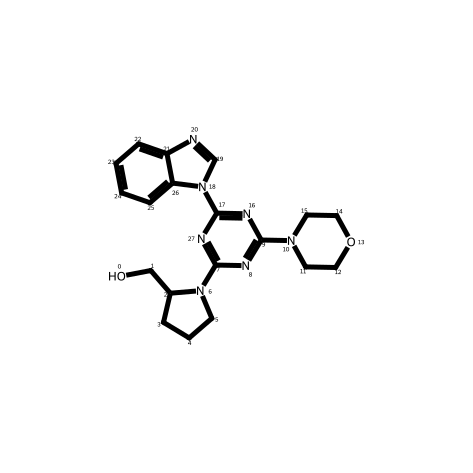 OCC1CCCN1c1nc(N2CCOCC2)nc(-n2cnc3ccccc32)n1